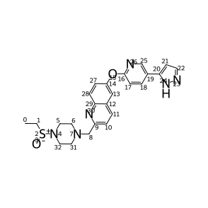 CC[S+]([O-])N1CCN(Cc2ccc3cc(Oc4ccc(-c5ccn[nH]5)cn4)ccc3n2)CC1